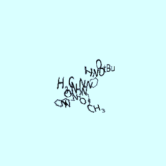 CC#CCn1c(N2CCCC(NC(=O)OC(C)(C)C)C2)nc2c1c(=O)n(Cc1cc3ccccn3n1)c(=O)n2C